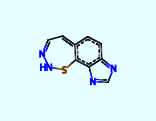 C1=NNSc2c3c(ccc2=C1)=NC=N3